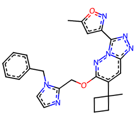 Cc1cc(-c2nnc3cc(C4(C)CCC4)c(OCc4nccn4Cc4ccccc4)nn23)no1